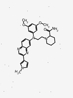 COc1cc(OC)cc(N(CCN2CCCCC2C(N)=O)c2ccc3ncc(-c4ccn(C)c4)nc3c2)c1